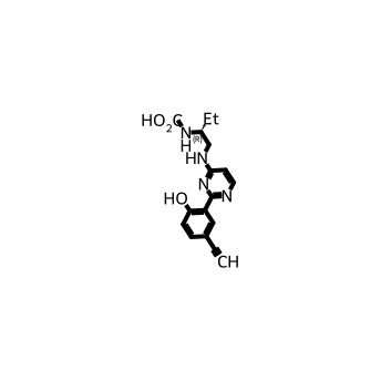 C#Cc1ccc(O)c(-c2nccc(NC[C@@H](CC)NC(=O)O)n2)c1